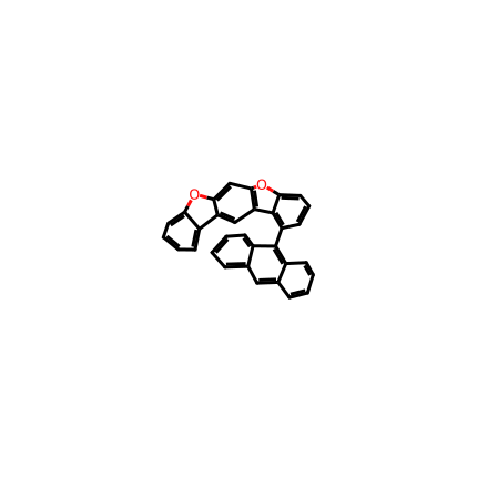 c1ccc2c(-c3cccc4oc5cc6oc7ccccc7c6cc5c34)c3ccccc3cc2c1